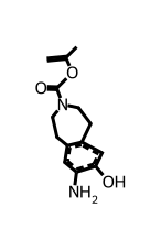 C=C(C)OC(=O)N1CCc2cc(N)c(O)cc2CC1